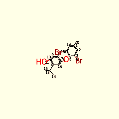 [CH2]c1cc(Br)c(Oc2ccc(O)c(C(C)C)c2)c(Br)c1